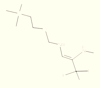 CN/C(=C\NCOCC[Si](C)(C)C)C(F)(F)F